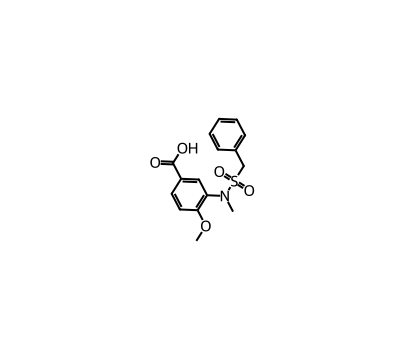 COc1ccc(C(=O)O)cc1N(C)S(=O)(=O)Cc1ccccc1